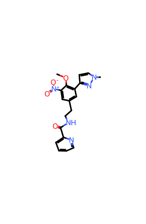 COc1c(-c2ccn(C)n2)cc(CCNC(=O)c2ccccn2)cc1[N+](=O)[O-]